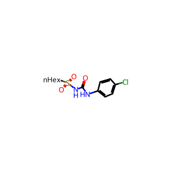 CCCCCCS(=O)(=O)NC(=O)Nc1ccc(Cl)cc1